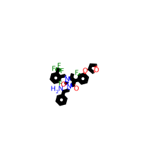 Cc1c(-c2cccc(O[C@@H]3CCOC3)c2F)c(=O)n(C[C@H](N)c2ccccc2)c(=O)n1Cc1c(F)cccc1C(F)(F)F